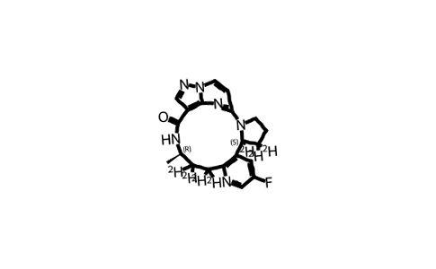 [2H]C1([2H])c2ncc(F)cc2[C@@]2([2H])N(CCC2([2H])[2H])c2ccn3ncc(c3n2)C(=O)N[C@H](C)C1([2H])[2H]